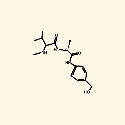 CNC(C(=O)N[C@@H](C)C(=O)Nc1ccc(CO)cc1)C(C)C